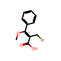 CO/C(=C(/CBr)C(=O)O)c1ccccc1